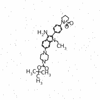 CCn1c(-c2ccc(N3CCCS3(=O)=O)cc2)c(N)c2ccc(N3CCN(C(=O)OC(C)(C)C)CC3)cc21